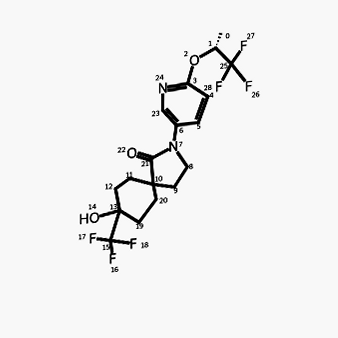 C[C@@H](Oc1ccc(N2CCC3(CCC(O)(C(F)(F)F)CC3)C2=O)cn1)C(F)(F)F